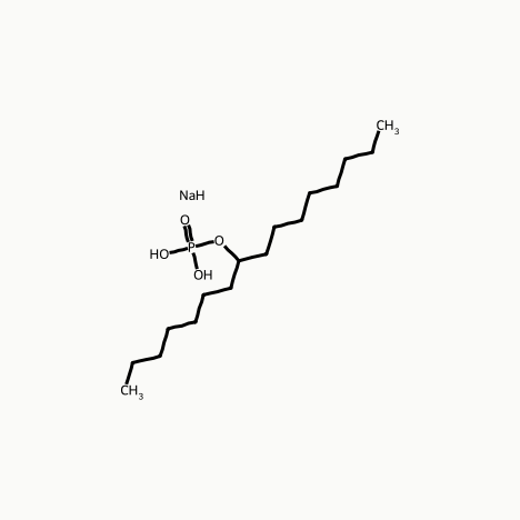 CCCCCCCCC(CCCCCCC)OP(=O)(O)O.[NaH]